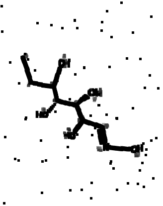 CCC(O)[C@@H](O)[C@@H](O)C(O)/C=N/O